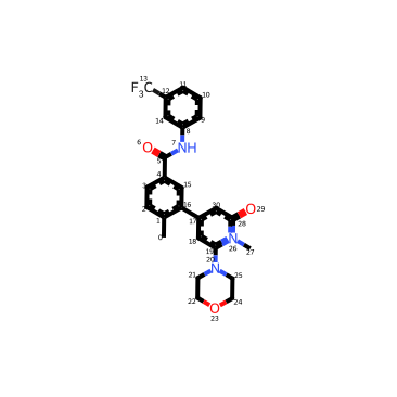 Cc1ccc(C(=O)Nc2cccc(C(F)(F)F)c2)cc1-c1cc(N2CCOCC2)n(C)c(=O)c1